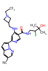 CC(C)(O)C(F)CNC(=O)c1cnc(-c2ccc3cc(C#N)cnn23)cc1NCC1CN(CC(F)(F)F)C1